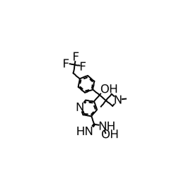 CN1CC(C)(C(O)(c2ccc(CC(F)(F)F)cc2)c2cncc(C(=N)NO)c2)C1